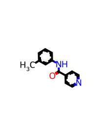 Cc1cccc(NC(=O)c2ccncc2)c1